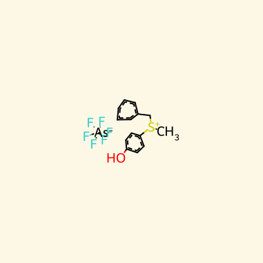 C[S+](Cc1ccccc1)c1ccc(O)cc1.F[As-](F)(F)(F)(F)F